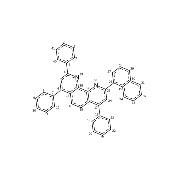 c1ccc(-c2cc(-c3ccccc3)c3ccc4c(-c5ccccc5)cc(-c5cccc6ccccc56)nc4c3n2)cc1